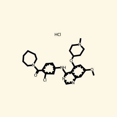 COc1cc(OC2CCN(C)CC2)c2c(Nc3ccc(C(=O)N4CCCCCC4)c(Cl)c3)ncnc2c1.Cl